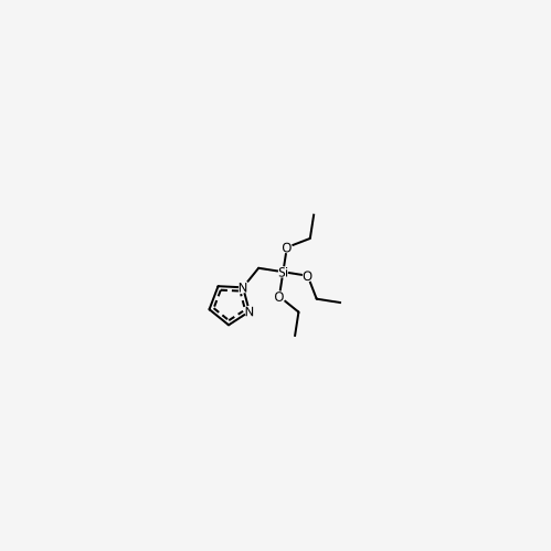 CCO[Si](Cn1cccn1)(OCC)OCC